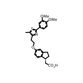 COc1ccc(-c2nc(CCOc3ccc4c(c3)CC[C@H]4CC(=O)O)c(C)s2)cc1OC